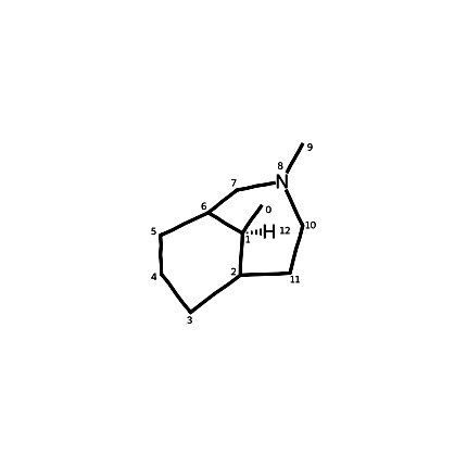 C[C@H]1C2CCCC1CN(C)CC2